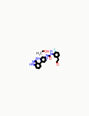 CCO.Nc1n[nH]c2cccc(-c3ccc(NC(=O)Nc4cc(CC=O)ccc4F)cc3)c12